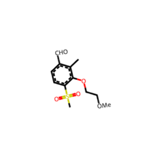 COCCOc1c(S(C)(=O)=O)ccc(C=O)c1C